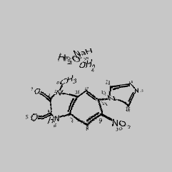 Cn1c(=O)c(=O)[nH]c2cc([N+](=O)[O-])c(-n3ccnc3)cc21.O.O.[NaH]